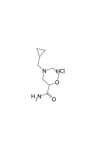 Cl.NC(=O)C1CN(CC2CC2)CCO1